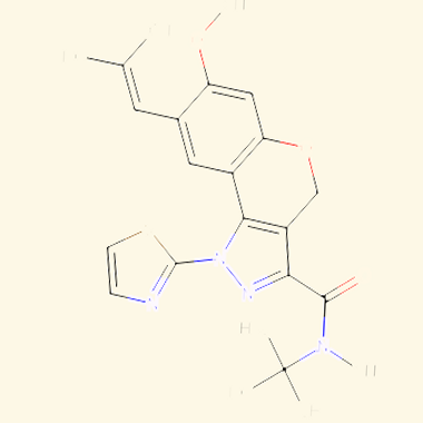 COc1cc2c(cc1C=C(C)C)-c1c(c(C(=O)N(C)C(C)(C)C)nn1-c1nccs1)CO2